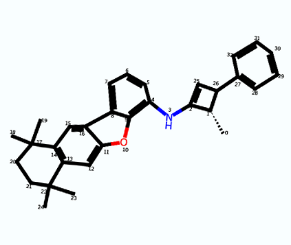 C[C@@H]1C(Nc2cccc3c2oc2cc4c(cc23)C(C)(C)CCC4(C)C)=CC1c1ccccc1